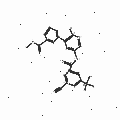 COC(=O)c1cccc(-c2cc(NC(=O)c3cc(C#N)cc(C(C)(C)C)c3)cnc2C)c1